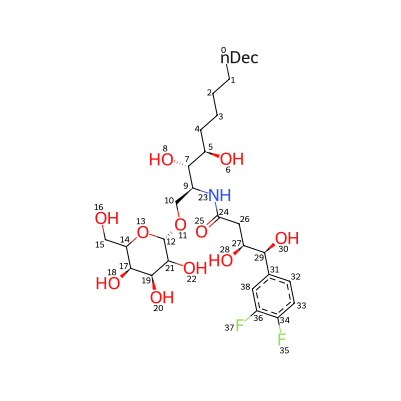 CCCCCCCCCCCCCC[C@@H](O)[C@@H](O)[C@H](CO[C@H]1OC(CO)[C@H](O)[C@H](O)C1O)NC(=O)C[C@H](O)[C@@H](O)c1ccc(F)c(F)c1